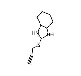 C#CCSC1NC2CCCCC2N1